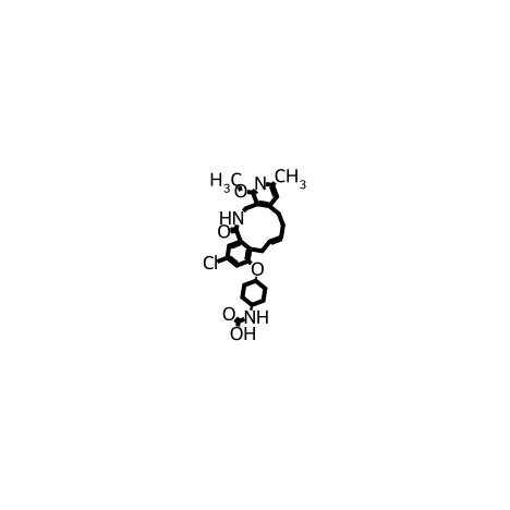 COc1nc(C)cc2c1CNC(=O)c1cc(Cl)cc(O[C@H]3CC[C@H](NC(=O)O)CC3)c1C/C=C/CC2